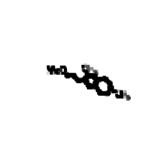 COCCCc1cc2c(cc1C)CCN(C)CC2